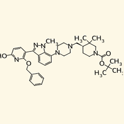 Cn1nc(-c2ccc(O)nc2OCc2ccccc2)c2cccc(N3CCN(C[C@@H]4CCN(C(=O)OC(C)(C)C)CC4(C)C)CC3)c21